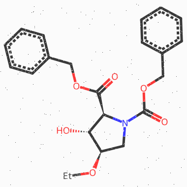 CCO[C@@H]1CN(C(=O)OCc2ccccc2)[C@H](C(=O)OCc2ccccc2)[C@H]1O